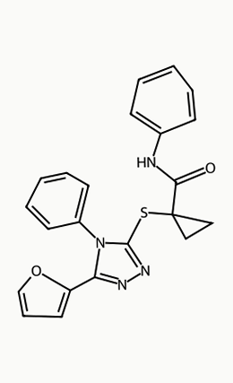 O=C(Nc1ccccc1)C1(Sc2nnc(-c3ccco3)n2-c2ccccc2)CC1